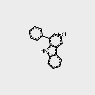 Cl.c1ccc(-c2cccc3c2[nH]c2ccccc23)cc1